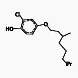 CC(C)CCCC(C)CCOc1ccc(O)c(Cl)c1